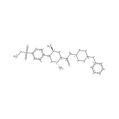 CCS(=O)(=O)c1cnc(N2C[C@@H](C)N(C(=O)OC3CCN(Cc4ccccc4)CC3)C[C@@H]2C)nc1